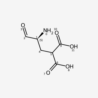 N[C@H](C=O)CC(C(=O)O)C(=O)O